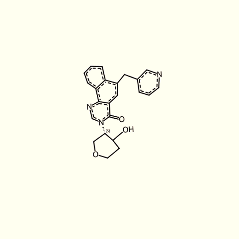 O=c1c2cc(Cc3cccnc3)c3ccccc3c2ncn1[C@H]1COCCC1O